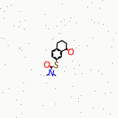 CN(C)C(=O)Sc1ccc2c(c1)C(=O)CCC2